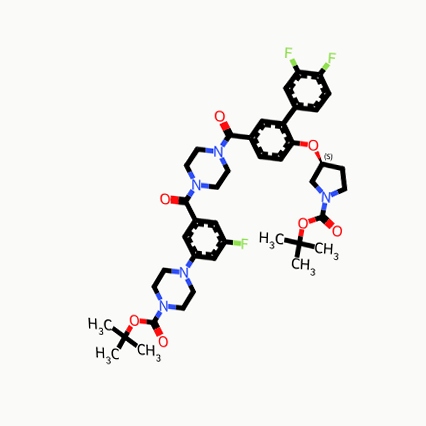 CC(C)(C)OC(=O)N1CCN(c2cc(F)cc(C(=O)N3CCN(C(=O)c4ccc(O[C@H]5CCN(C(=O)OC(C)(C)C)C5)c(-c5ccc(F)c(F)c5)c4)CC3)c2)CC1